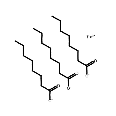 CCCCCCCC(=O)[O-].CCCCCCCC(=O)[O-].CCCCCCCC(=O)[O-].[Tm+3]